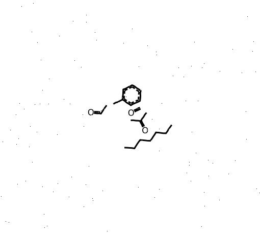 C=O.CC(C)=O.CC=O.CCCCCCC.Cc1ccccc1